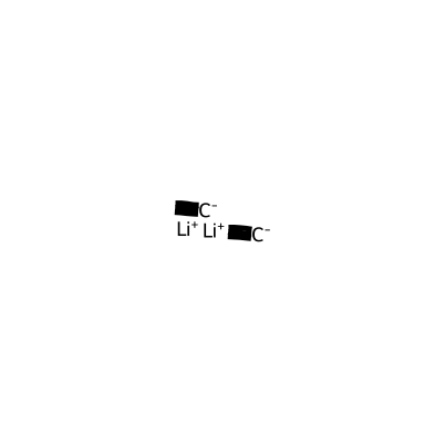 [C-]#C.[C-]#C.[Li+].[Li+]